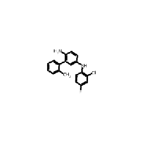 Cc1ccccc1-c1cc(Nc2ccc(F)cc2Cl)ccc1N